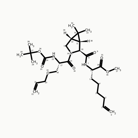 C=CCCCC[C@H](NC(=O)[C@@H]1[C@@H]2[C@H](CN1C(=O)[C@H](COCC=C)NC(=O)OC(C)(C)C)C2(C)C)C(=O)OC